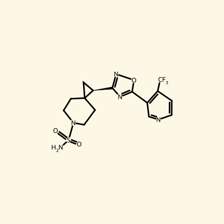 NS(=O)(=O)N1CCC2(CC1)C[C@H]2c1noc(-c2cnccc2C(F)(F)F)n1